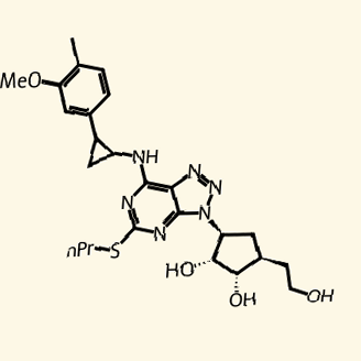 CCCSc1nc(NC2CC2c2ccc(C)c(OC)c2)c2nnn([C@H]3C[C@@H](CCO)[C@H](O)[C@@H]3O)c2n1